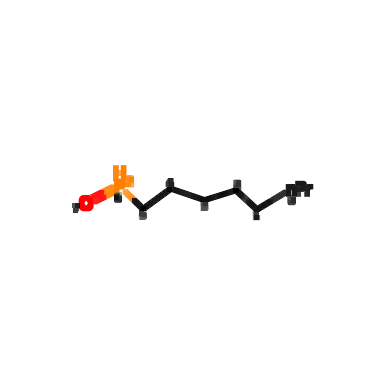 CCCCCCCC[PH2]=O